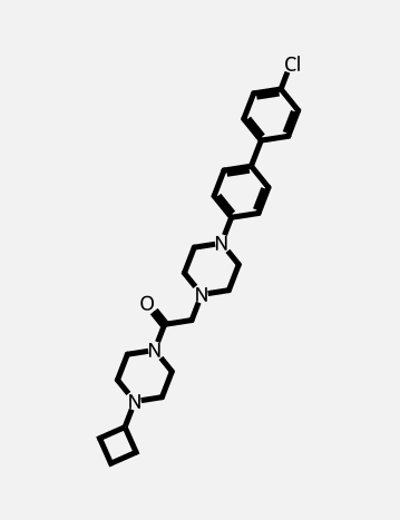 O=C(CN1CCN(c2ccc(-c3ccc(Cl)cc3)cc2)CC1)N1CCN(C2CCC2)CC1